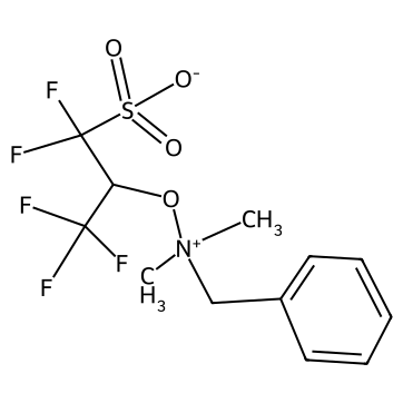 C[N+](C)(Cc1ccccc1)OC(C(F)(F)F)C(F)(F)S(=O)(=O)[O-]